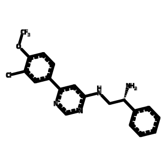 N[C@@H](CNc1cc(-c2ccc(OC(F)(F)F)c(Cl)c2)ncn1)c1ccccc1